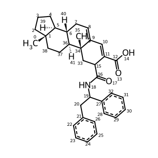 C[C@@]12CCC[C@H]1[C@@H]1CC=C3C=C(C(=O)O)C(C(=O)NC(Cc4ccccc4)c4ccccc4)C[C@]3(C)[C@H]1CC2